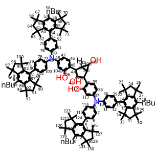 CCCCc1c2c(c(-c3ccc(N(c4ccc(-c5c6c(c(CCCC)c7c5C(C)(C)CC7(C)C)C(C)(C)CC6(C)C)cc4)c4ccc(C5C(O)C(c6ccc(N(c7ccc(-c8c9c(c(CCCC)c%10c8C(C)(C)CC%10(C)C)C(C)(C)CC9(C)C)cc7)c7ccc(-c8c9c(c(CCCC)c%10c8C(C)(C)CC%10(C)C)C(C)(C)CC9(C)C)cc7)cc6O)[C@@H]6C(O)C56)c(O)c4)cc3)c3c1C(C)(C)CC3(C)C)C(C)(C)CC2(C)C